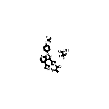 C=C(F)C(=O)N1CC(c2nn(-c3ccc(OC(F)(F)F)cc3)c3nccc(C4CNC4)c23)C1.O=C(O)C(F)(F)F